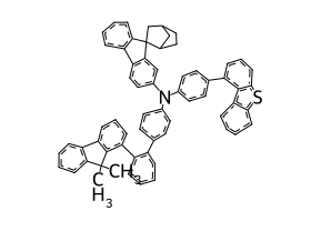 CC1(C)c2ccccc2-c2cccc(-c3ccccc3-c3ccc(N(c4ccc(-c5cccc6sc7ccccc7c56)cc4)c4ccc5c(c4)C4(CC6CCC4C6)c4ccccc4-5)cc3)c21